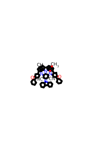 Cc1ccc2c(c1)c1cc3oc4ccccc4c3cc1n2-c1c(C#N)c(-n2c3ccccc3c3ccccc32)c(C#N)c(-n2c3ccc(C)cc3c3cc4oc5ccccc5c4cc32)c1-n1c2ccccc2c2ccccc21